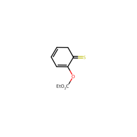 CCOC(=O)OC1=CC=CCC1=S